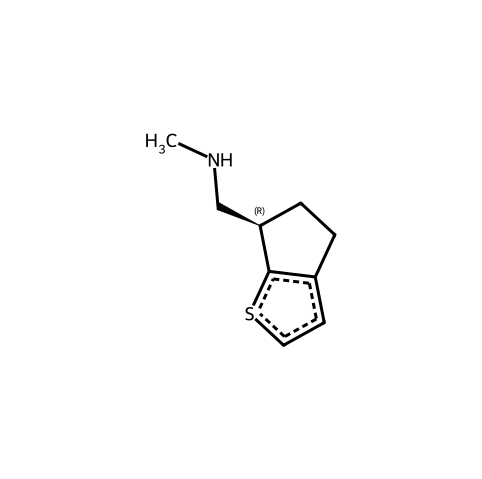 CNC[C@H]1CCc2ccsc21